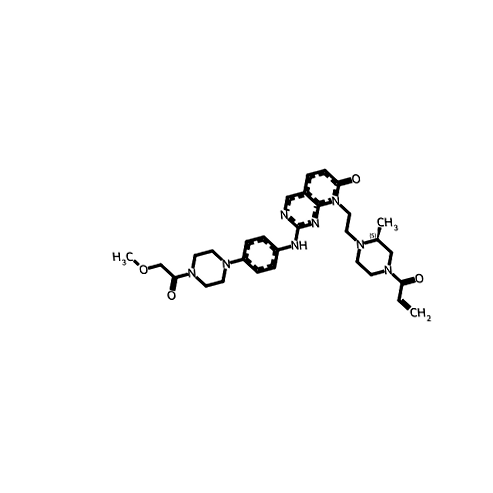 C=CC(=O)N1CCN(CCn2c(=O)ccc3cnc(Nc4ccc(N5CCN(C(=O)COC)CC5)cc4)nc32)[C@@H](C)C1